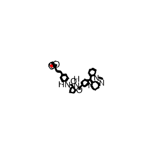 O=C(NC1(C(=O)Nc2ccc(/C=C/C34OC(O3)O4)cc2)CCCC1)c1ccc2c(C3CCCCC3)c3n(c2c1)CCCc1nccnc1-3